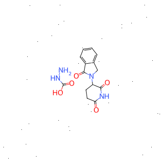 NNC(=O)O.O=C1CCC(N2Cc3ccccc3C2=O)C(=O)N1